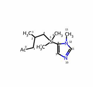 CC(=O)CC(C)C[Si](C)(C)c1cncn1C